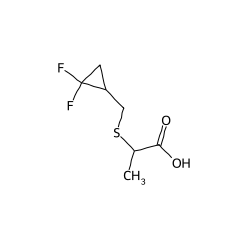 CC(SCC1CC1(F)F)C(=O)O